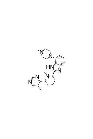 Cc1cncnc1[C@@H]1CCC[C@H](c2nc3cccc(N4CCN(C)CC4)c3[nH]2)N1C